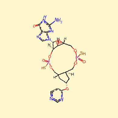 Nc1nc2c(ncn2[C@@H]2O[C@@H]3COP(=O)(S)OC[C@H]4C[C@H](Oc5ccncn5)C[C@@H]4COP(=O)(S)O[C@@H]2[C@@H]3O)c(=O)[nH]1